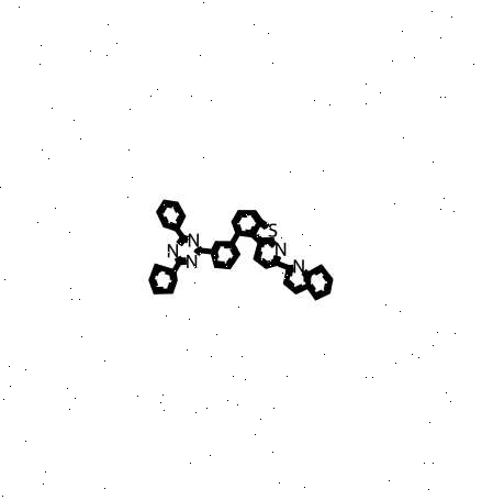 c1ccc(-c2nc(-c3ccccc3)nc(-c3cccc(-c4cccc5sc6nc(-c7ccc8ccccc8n7)ccc6c45)c3)n2)cc1